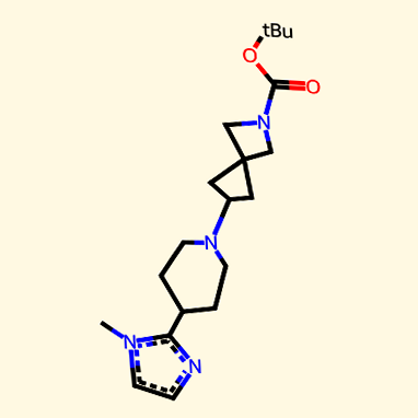 Cn1ccnc1C1CCN(C2CC3(C2)CN(C(=O)OC(C)(C)C)C3)CC1